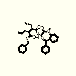 C=CC[C@H](C(=O)NCc1ccccc1)[C@@H](CC(C)C)C(=O)N[C@H]1N=C(c2ccccc2)c2ccccc2N(C)C1=O